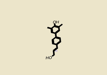 Cc1cc(-c2ccc(/C=C/CO)cc2)cc(C)c1O